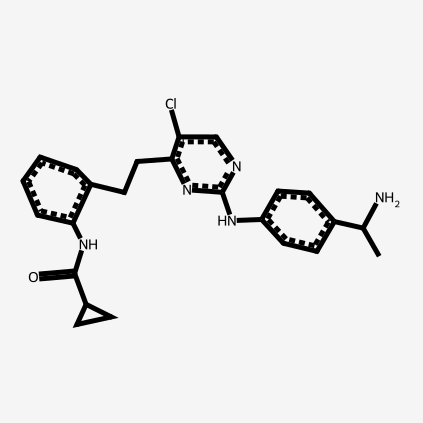 CC(N)c1ccc(Nc2ncc(Cl)c(CCc3ccccc3NC(=O)C3CC3)n2)cc1